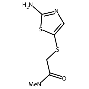 CNC(=O)CSc1cnc(N)s1